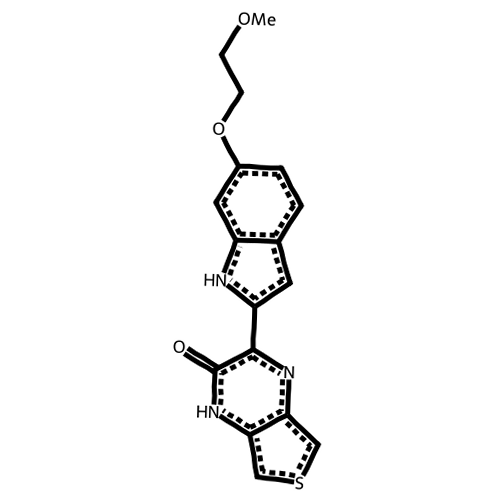 COCCOc1ccc2cc(-c3nc4cscc4[nH]c3=O)[nH]c2c1